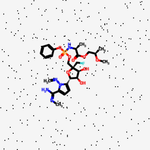 C=Nn1c(/C(N)=N\C)ccc1[C@@H]1O[C@](CF)(COP(=O)(N[C@@H](C)C(=O)OC[C@@H](C)OC)Oc2ccccc2)[C@@H](O)[C@H]1O